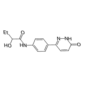 CCC(O)C(=O)Nc1ccc(-c2ccc(=O)[nH]n2)cc1